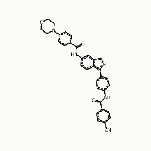 N#Cc1ccc(C(=O)Nc2ccc(-n3ncc4cc(NC(=O)c5ccc(N6CCOCC6)cc5)ccc43)cc2)cc1